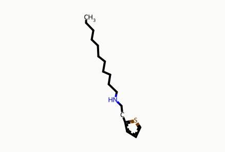 CCCCCCCCCCCNCCc1cccs1